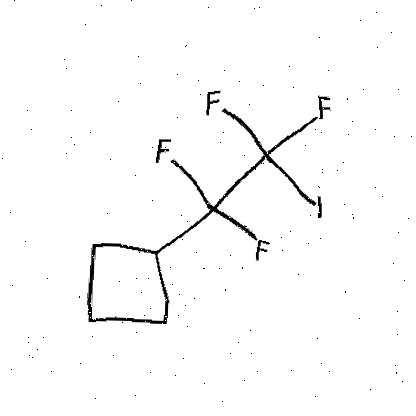 FC(F)(I)C(F)(F)C1CCC1